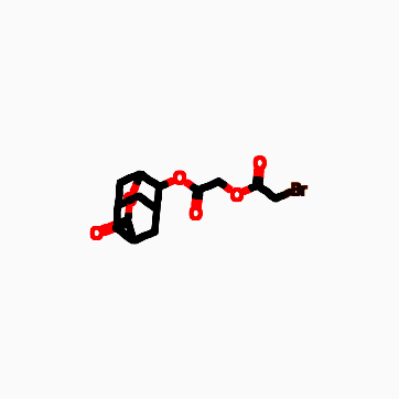 O=C(CBr)OCC(=O)OC1C2CC3CC(C2)C(=O)OC1C3